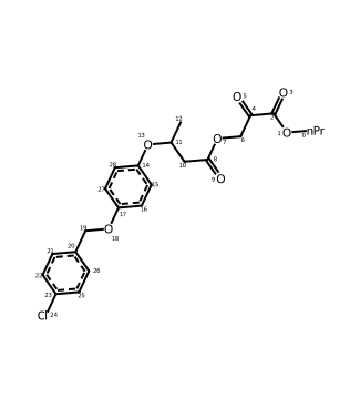 CCCOC(=O)C(=O)COC(=O)CC(C)Oc1ccc(OCc2ccc(Cl)cc2)cc1